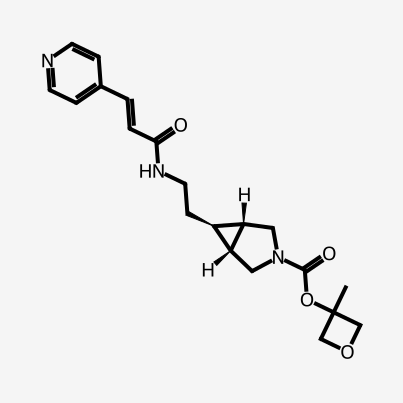 CC1(OC(=O)N2C[C@@H]3[C@@H](CCNC(=O)/C=C/c4ccncc4)[C@@H]3C2)COC1